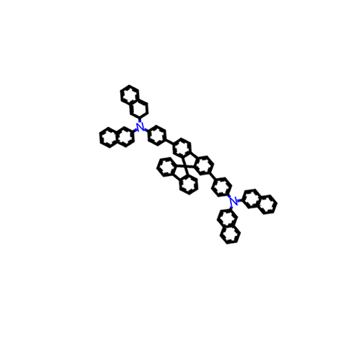 C1=c2ccccc2=CC(N(c2ccc(-c3ccc4c(c3)C3(c5ccccc5-c5ccccc53)c3cc(-c5ccc(N(c6ccc7ccccc7c6)c6ccc7ccccc7c6)cc5)ccc3-4)cc2)c2ccc3ccccc3c2)C1